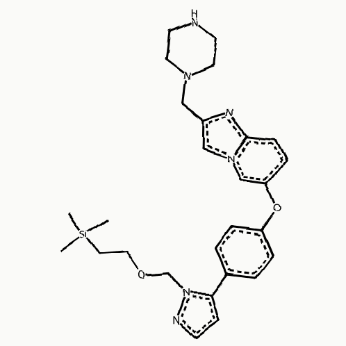 C[Si](C)(C)CCOCn1nccc1-c1ccc(Oc2ccc3nc(CN4CCNCC4)cn3c2)cc1